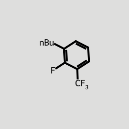 CCCCc1cccc(C(F)(F)F)c1F